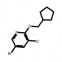 Clc1cc(Br)cnc1OCC1CCCC1